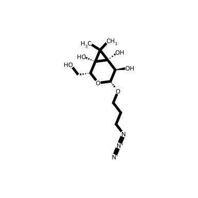 CC1(C)[C@]2(O)[C@@H](CO)O[C@@H](OCCCN=[N+]=[N-])[C@H](O)[C@]12O